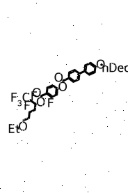 CCCCCCCCCCOc1ccc(-c2ccc(C(=O)Oc3ccc(C(=O)OC(CCCCOCC)C(F)(F)C(F)(F)F)c(F)c3)cc2)cc1